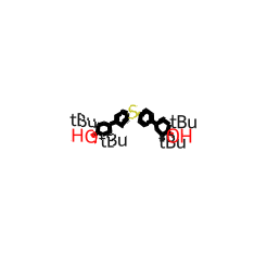 CC(C)(C)C1CC(c2ccc(Sc3ccc(C4CC(C(C)(C)C)C(O)C(C(C)(C)C)C4)cc3)cc2)CC(C(C)(C)C)C1O